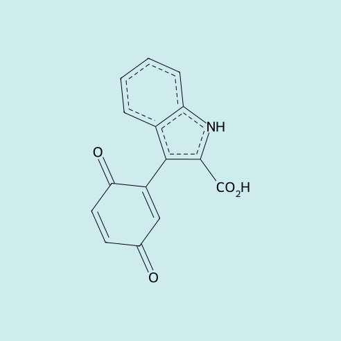 O=C1C=CC(=O)C(c2c(C(=O)O)[nH]c3ccccc23)=C1